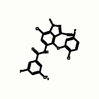 CNc1nn(C)c2c(Cl)cc(NC(=O)c3cc(F)cc(C(F)(F)F)c3)c(Oc3cc(F)ccc3Cl)c12